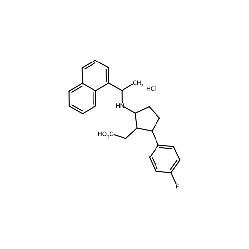 CC(NC1CCC(c2ccc(F)cc2)C1CC(=O)O)c1cccc2ccccc12.Cl